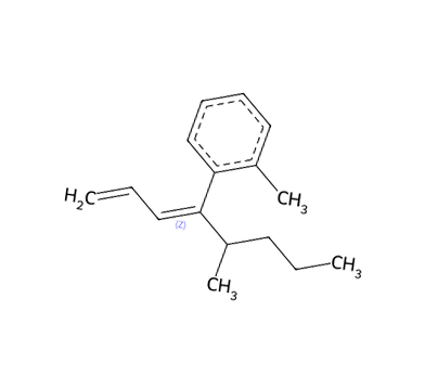 C=C/C=C(\c1ccccc1C)C(C)CCC